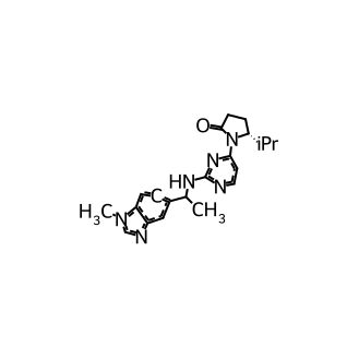 CC(Nc1nccc(N2C(=O)CC[C@@H]2C(C)C)n1)c1ccc2c(c1)ncn2C